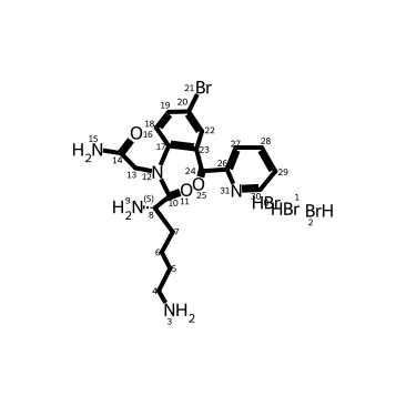 Br.Br.Br.NCCCC[C@H](N)C(=O)N(CC(N)=O)c1ccc(Br)cc1C(=O)c1ccccn1